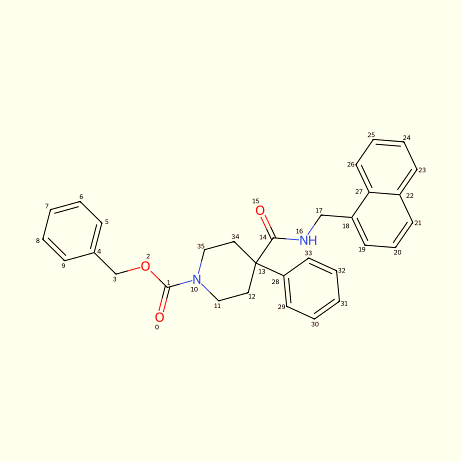 O=C(OCc1ccccc1)N1CCC(C(=O)NCc2cccc3ccccc23)(c2ccccc2)CC1